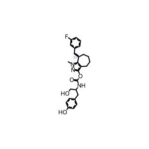 Cn1nc(OC(=O)NC(CO)Cc2ccc(O)cc2)c2c1/C(=C/c1cccc(F)c1)CCCC2